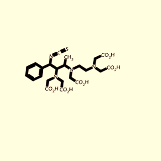 CC(C(C(N=C=S)c1ccccc1)N(CC(=O)O)CC(=O)O)N(CCN(CC(=O)O)CC(=O)O)CC(=O)O